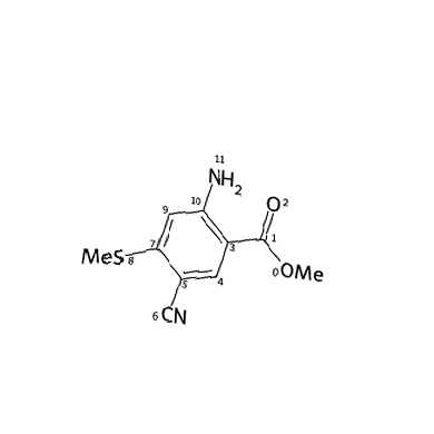 COC(=O)c1cc(C#N)c(SC)cc1N